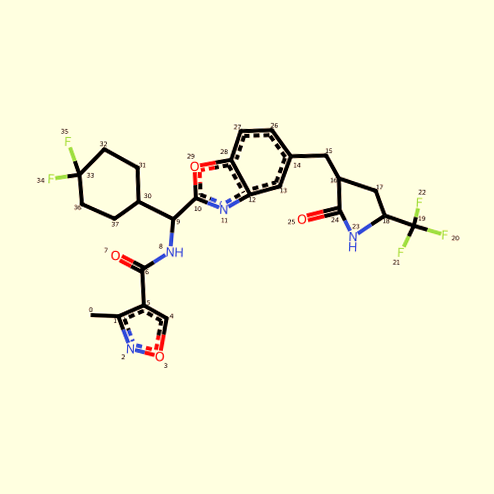 Cc1nocc1C(=O)NC(c1nc2cc(CC3CC(C(F)(F)F)NC3=O)ccc2o1)C1CCC(F)(F)CC1